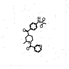 CC1CC(C(=O)c2ccc(NS(C)(=O)=O)cc2)CCN1C(=O)c1cccnc1